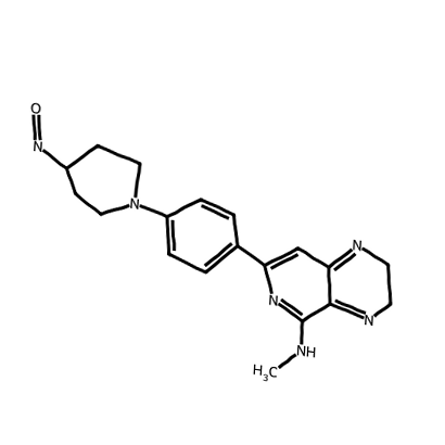 CNc1nc(-c2ccc(N3CCC(N=O)CC3)cc2)cc2c1=NCCN=2